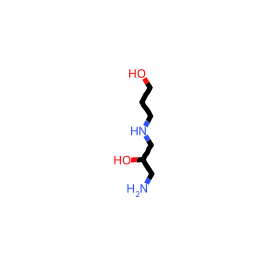 NCC(O)CNCCCO